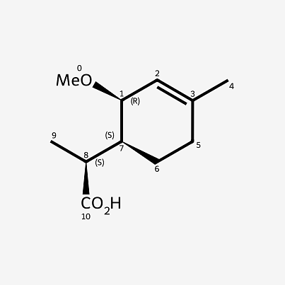 CO[C@H]1C=C(C)CC[C@H]1[C@H](C)C(=O)O